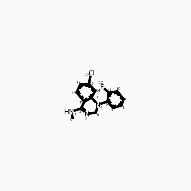 CNC1=NCN(c2ccccc2F)c2cc(Cl)ccc21